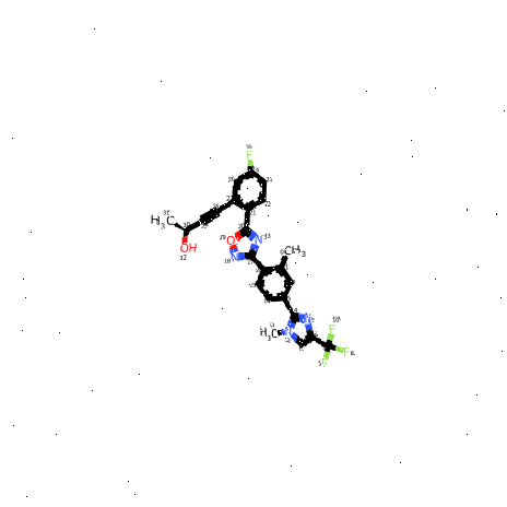 Cc1cc(-c2nc(C(F)(F)F)cn2C)ccc1-c1noc(-c2ccc(F)cc2C#C[C@H](C)O)n1